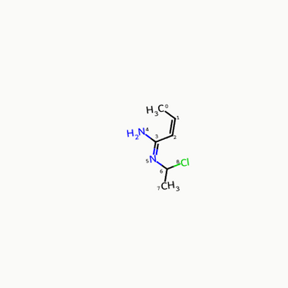 C/C=C\C(N)=N/C(C)Cl